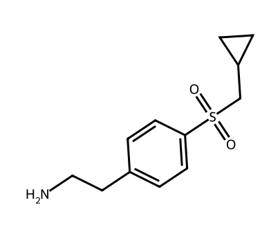 NCCc1ccc(S(=O)(=O)CC2CC2)cc1